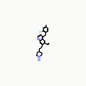 C=Cc1cc2c(Cc3ccc(C)cc3F)ccnc2cc1CCC1CCNCC1